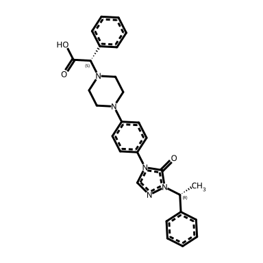 C[C@H](c1ccccc1)n1ncn(-c2ccc(N3CCN([C@H](C(=O)O)c4ccccc4)CC3)cc2)c1=O